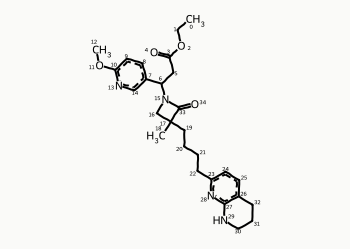 CCOC(=O)CC(c1ccc(OC)nc1)N1CC(C)(CCCCc2ccc3c(n2)NCCC3)C1=O